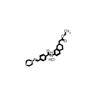 CCOC(=O)CC1CCc2ccc(NC(=O)c3ccc(/C=N/N4CCSCC4)cc3)cc2C1.Cl